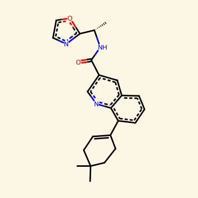 C[C@H](NC(=O)c1cnc2c(C3=CCC(C)(C)CC3)cccc2c1)c1ncco1